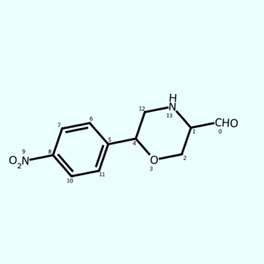 O=CC1COC(c2ccc([N+](=O)[O-])cc2)CN1